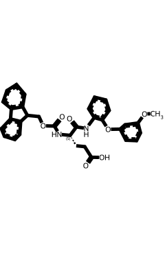 COc1cccc(Oc2ccccc2NC(=O)[C@H](CCC(=O)O)NC(=O)OCC2c3ccccc3-c3ccccc32)c1